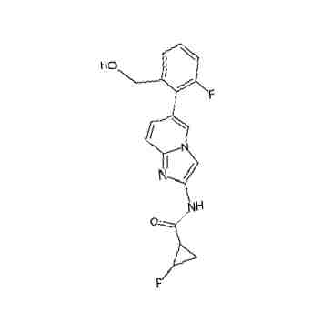 O=C(Nc1cn2cc(-c3c(F)cccc3CO)ccc2n1)C1CC1F